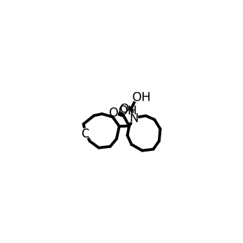 O=C(O)N1CCCCCCCCC1(C(=O)O)C1CCCCCCCCC1